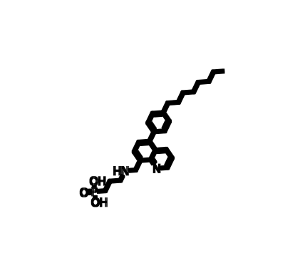 CCCCCCCCc1ccc(-c2ccc(CNCCCP(=O)(O)O)c3ncccc23)cc1